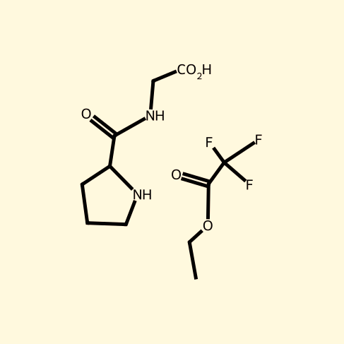 CCOC(=O)C(F)(F)F.O=C(O)CNC(=O)C1CCCN1